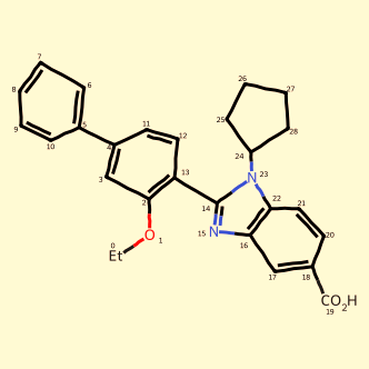 CCOc1cc(-c2ccccc2)ccc1-c1nc2cc(C(=O)O)ccc2n1C1CCCC1